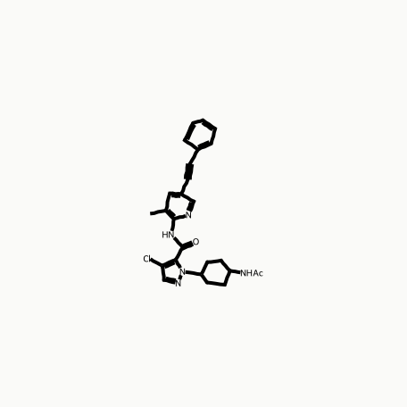 CC(=O)NC1CCC(n2ncc(Cl)c2C(=O)Nc2ncc(C#Cc3ccccc3)cc2C)CC1